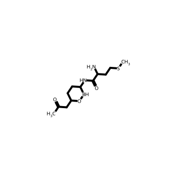 CSCCC(N)C(=O)NC1BOC(CC(C)=O)CC1